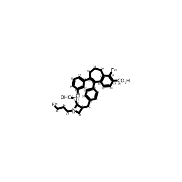 O=COC1C(Cc2ccc(C3=C(c4cccc(Cl)c4)CCCc4c3ccc(C(=O)O)c4F)cc2)CN1CCCF